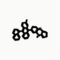 Cc1ccc2c(-c3cccc4ccccc34)c3ccccc3c(-c3ccc4c(c3)N(C)c3ccccc3O4)c2c1